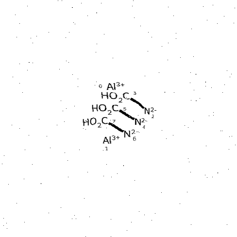 [Al+3].[Al+3].[N-2]C(=O)O.[N-2]C(=O)O.[N-2]C(=O)O